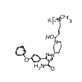 CN(C)C/C=C/C(O)N1CCC[C@@H](n2cc(C(N)=O)c(-c3ccc(Oc4ccccc4)cc3)n2)C1